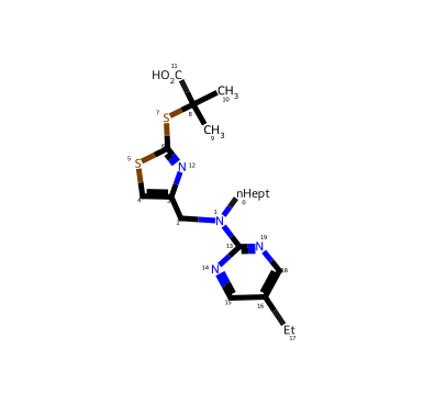 CCCCCCCN(Cc1csc(SC(C)(C)C(=O)O)n1)c1ncc(CC)cn1